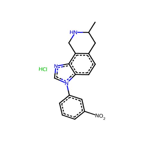 CC1Cc2ccc3c(ncn3-c3cccc([N+](=O)[O-])c3)c2CN1.Cl